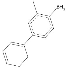 Bc1ccc(C2=CC=CCC2)cc1C